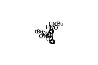 CC(C)(C)NC(=O)Nc1ccc2c(c1)nc(NC(=O)OC(C)(C)C)c(=O)n2Cc1ccccc1